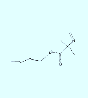 C=NC(C)(C)C(=O)OCCCC